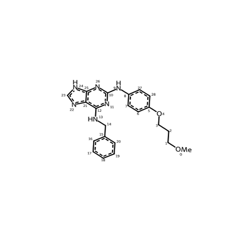 COCCCOc1ccc(Nc2nc(NCc3ccccc3)c3nc[nH]c3n2)cc1